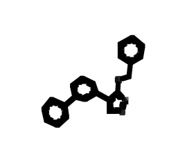 c1ccc(COc2nscc2-c2cccc(-c3ccccc3)c2)cc1